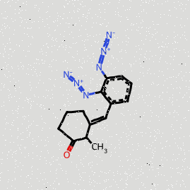 CC1C(=O)CCCC1=Cc1cccc(N=[N+]=[N-])c1N=[N+]=[N-]